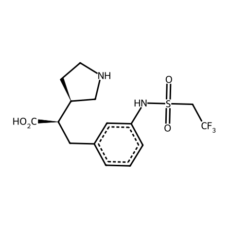 O=C(O)[C@H](Cc1cccc(NS(=O)(=O)CC(F)(F)F)c1)[C@H]1CCNC1